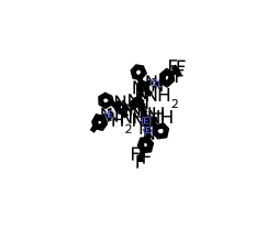 Cc1ccc(/N=N/c2c(C3CCCCC3)nn(-c3nc(N/C(N)=C(/N=N/c4ccc(C(F)(F)F)cc4)C(=N)C4CCCCC4)nc(-n4nc(C5CCCCC5)c(/N=N/c5ccc(C(F)(F)F)cc5)c4N)n3)c2N)cc1